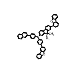 CC1(C)c2cc(-c3cccc4c3oc3ccccc34)ccc2-c2ccc(N(c3ccc(-c4ccc5ccccc5c4)cc3)c3ccc(-c4ccc5oc6ccccc6c5c4)cc3)cc21